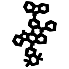 CC1(C)CCC(C)(C)c2cc(N3c4cccc5c4B(c4ccc(-n6c7ccccc7c7ccccc76)cc4N5c4ccccc4)c4sc5ccccc5c43)ccc21